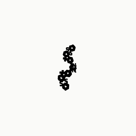 CC1(C)c2cc(-c3cc(-c4ccc5c(c4)C(C)(C)c4ccc6c(c4-5)Sc4ccccc4S6)ncn3)ccc2-c2c1ccc1c2Sc2ccccc2S1